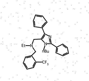 CCCCn1c(-c2ccccc2)nc(-c2ccccc2)c1CN(CC)Cc1ccccc1C(F)(F)F